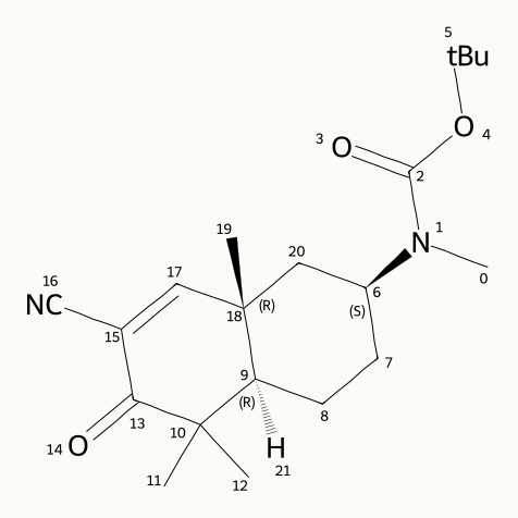 CN(C(=O)OC(C)(C)C)[C@H]1CC[C@H]2C(C)(C)C(=O)C(C#N)=C[C@]2(C)C1